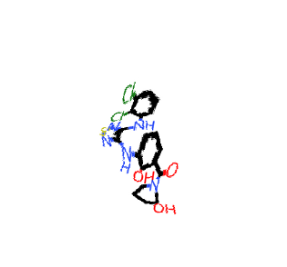 O=C(c1cccc(Nc2nsnc2Nc2cccc(Cl)c2Cl)c1O)N1CCCC(O)C1